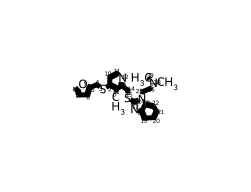 Cc1c(SCc2ccco2)ccnc1CSc1nc2ccccc2n1CCN(C)C